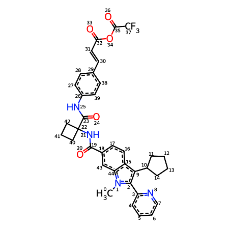 Cn1c(-c2ccccn2)c(C2CCCC2)c2ccc(C(=O)NC3(C(=O)Nc4ccc(C=CC(=O)OC(=O)C(F)(F)F)cc4)CCC3)cc21